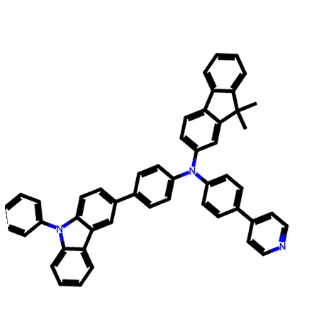 CC1(C)c2ccccc2-c2ccc(N(c3ccc(-c4ccncc4)cc3)c3ccc(-c4ccc5c(c4)c4ccccc4n5-c4ccccc4)cc3)cc21